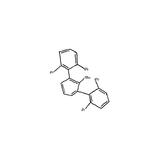 CC(C)c1cccc(C(C)C)c1-c1cccc(-c2c(C(C)C)cccc2C(C)C)c1C(C)(C)C